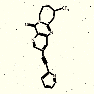 O=c1c2ncc(C#Cc3ccccn3)cc2nc2n1CCCC(C(F)(F)F)C2